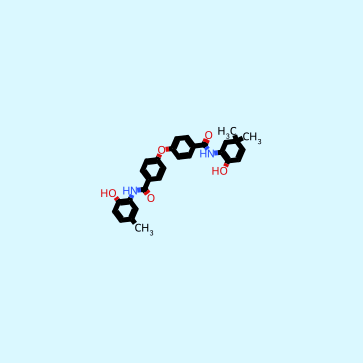 Cc1ccc(O)c(NC(=O)c2ccc(Oc3ccc(C(=O)NC4=C(O)C=CC(C)(C)C4)cc3)cc2)c1